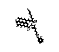 CCCCCCCCC(CCCCCC)C(=O)OCC(CCCCOCc1ccccc1)COC(=O)C(CCCCCC)CCCCCCCC